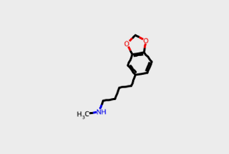 CNCCCCc1ccc2c(c1)OCO2